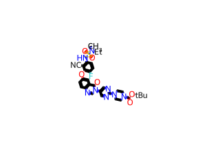 CCN(C)S(=O)(=O)Nc1ccc(F)c(Oc2ccc3ncn(-c4cnc(N5CCN(C(=O)OC(C)(C)C)CC5)nc4)c(=O)c3c2)c1C#N